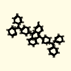 Cc1ccc2c(C3=CC=C(N(C4=CCCC=N4)c4ccccc4)CC3)c3c(c(C4=CC=C(N(C5=CCCC=N5)C5C=CC=CC5)CC4)c2c1)=CCCC=3